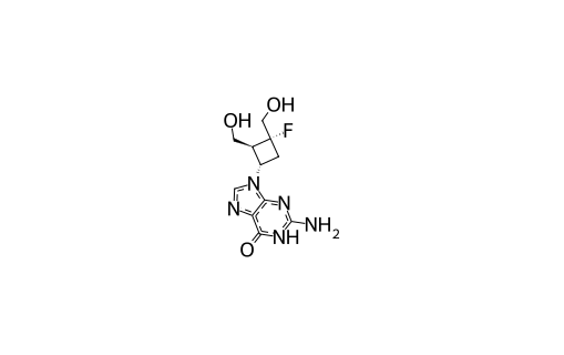 Nc1nc2c(ncn2[C@H]2C[C@](F)(CO)[C@@H]2CO)c(=O)[nH]1